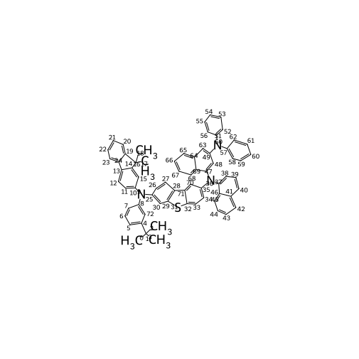 CC(C)(C)c1cccc(N(c2ccc3c(c2)C(C)(C)c2ccccc2-3)c2ccc3c(c2)sc2ccc(N(c4cccc5ccccc45)c4cc(N(c5ccccc5)c5ccccc5)cc5ccccc45)cc23)c1